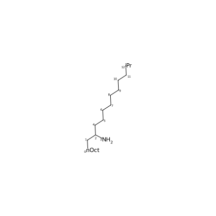 CCCCCCCCCC(N)CCCCCCCCC(C)C